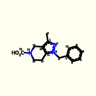 Cc1nn(Cc2ccccc2)c2c1CN(C(=O)O)CC2